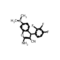 CN(C)c1ccc2c(c1)OC(N)=C(C#N)C2c1ccc(F)c(F)c1F